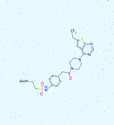 CNCCS(=O)(=O)Nc1ccc(CC(=O)N2CCN(c3ncnc4sc(CC(F)(F)F)cc34)CC2)cc1